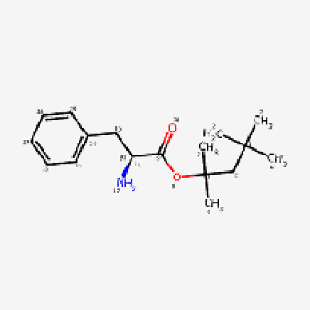 CC(C)(C)CC(C)(C)OC(=O)[C@@H](N)Cc1ccccc1